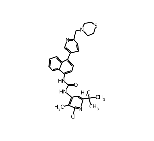 Cc1c(NC(=O)Nc2ccc(-c3ccc(CN4CCSCC4)nc3)c3ccccc23)cc(C(C)(C)C)nc1Cl